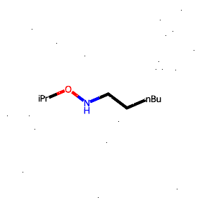 CCCCCCNOC(C)C